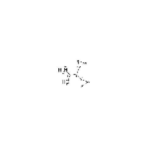 NC(O)C(C1CC1)C1CC1